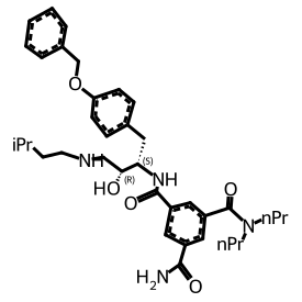 CCCN(CCC)C(=O)c1cc(C(N)=O)cc(C(=O)N[C@@H](Cc2ccc(OCc3ccccc3)cc2)[C@H](O)CNCCC(C)C)c1